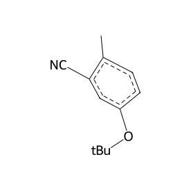 Cc1ccc(OC(C)(C)C)cc1C#N